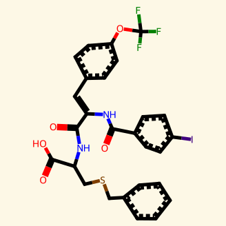 O=C(NC(CSCc1ccccc1)C(=O)O)C(=Cc1ccc(OC(F)(F)F)cc1)NC(=O)c1ccc(I)cc1